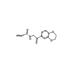 CCCCCCCC(=O)NCC(=O)c1ccc2c(c1)OCCO2